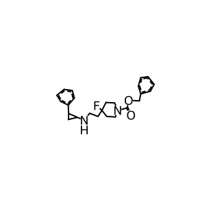 O=C(OCc1ccccc1)N1CCC(F)(CCNC2CC2c2ccccc2)CC1